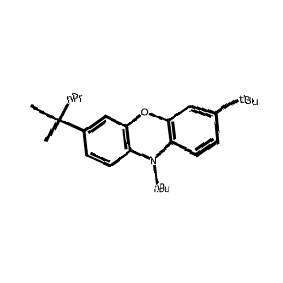 CCCCN1c2ccc(C(C)(C)C)cc2Oc2cc(C(C)(C)CCC)ccc21